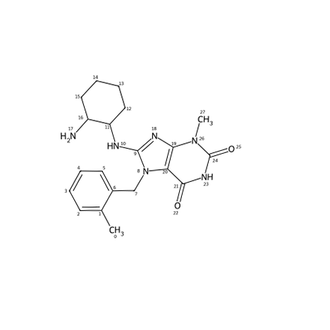 Cc1ccccc1Cn1c(NC2CCCCC2N)nc2c1c(=O)[nH]c(=O)n2C